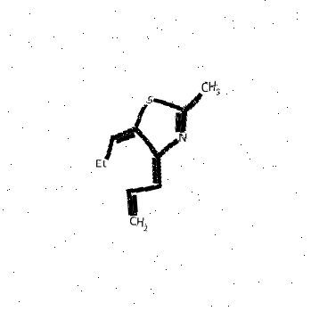 C=C/C=c1/nc(C)s/c1=C/CC